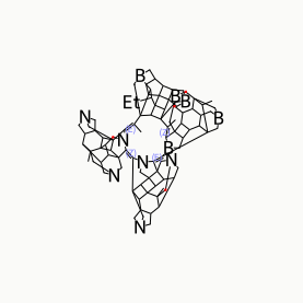 CCC1C2C34CC56C7C3CB4CC23/C(C)=C2/N4CC8C9C%10CN%11CC9(/C4=C4/N9CC%12%13C%14C%15C%16CN(CC%17(C)C%16C%16CN%18CC%16C%16C4(C%18)C%12C%16%14%17)CC%15%13/C9=C4/B9CC%12C%13C%14C%15CB(CC%16%17CB%18CC(C%15%16)C%13C4(C%18)C%17C)CC%12%14/C9=C(/C)C49CB%12CC7C5(C%12)C4C16C93)C1C23CN2CC4C(C2)C3C81C(C)(C%11)C4%10